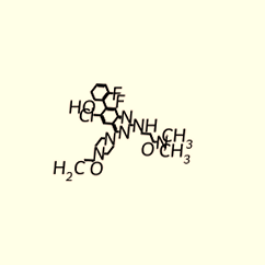 C=CC(=O)N1CCN(c2nc(NCCC(=O)N(C)C)nc3c(F)c(C4=C(F)C=CCC4O)c(Cl)cc23)CC1